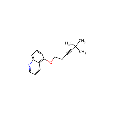 CC(C)(C)C#CCCOc1cccc2ncccc12